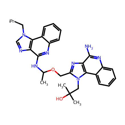 CC(C)Cn1cnc2c(NC(C)OCc3nc4c(N)nc5ccccc5c4n3CC(C)(C)O)nc3ccccc3c21